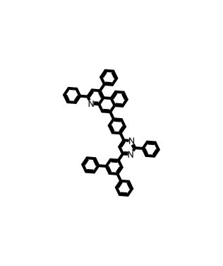 C1=CCCC(c2cc(-c3ccccc3)c3c(cc(-c4ccc(-c5cc(-c6cc(-c7ccccc7)cc(-c7ccccc7)c6)nc(-c6ccccc6)n5)cc4)c4ccccc43)n2)=C1